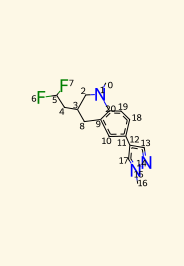 CN1CC(CC(F)F)Cc2cc(-c3cnn(C)c3)ccc21